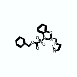 O=C(OCc1ccccc1)S(=O)(=O)N1C[C@H](Cn2ccnn2)Oc2ccccc21